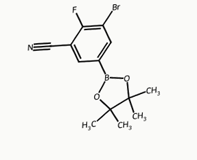 CC1(C)OB(c2cc(Br)c(F)c(C#N)c2)OC1(C)C